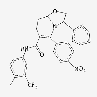 Cc1ccc(NC(=O)C2=C(c3ccc([N+](=O)[O-])cc3)N3C(CC2)OCC3c2ccccc2)cc1C(F)(F)F